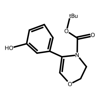 CC(C)(C)OC(=O)N1CCOC=C1c1cccc(O)c1